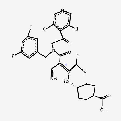 N=C/C(C(=O)N(CC(=O)c1c(Cl)cncc1Cl)Cc1cc(F)cc(F)c1)=C(\N[C@H]1CC[C@H](C(=O)O)CC1)C(F)F